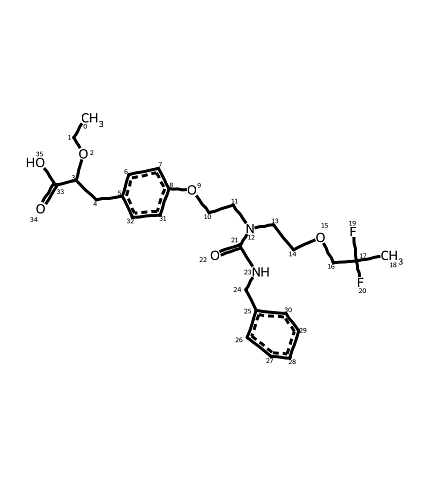 CCOC(Cc1ccc(OCCN(CCOCC(C)(F)F)C(=O)NCc2ccccc2)cc1)C(=O)O